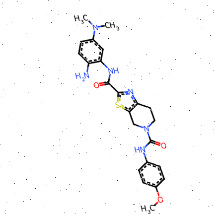 COc1ccc(NC(=O)N2CCc3nc(C(=O)Nc4cc(N(C)C)ccc4N)sc3C2)cc1